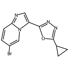 Brc1ccc2ncc(-c3nnc(C4CC4)o3)n2c1